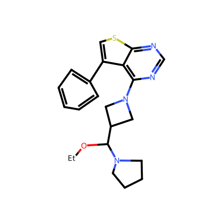 CCOC(C1CN(c2ncnc3scc(-c4ccccc4)c23)C1)N1CCCC1